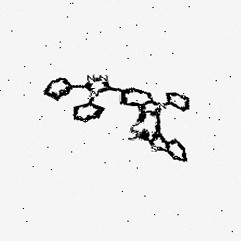 c1ccc(-c2nnc(-c3ccc4c(c3)c3sc5sc6ccccc6c5c3n4-c3ccccc3)n2-c2ccccc2)cc1